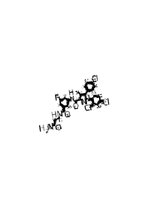 Cc1c(C(=O)Nc2cc(F)cc(C(=O)NCCC(N)=O)c2)nn(-c2ccc(Cl)cc2Cl)c1-c1ccc(Cl)cc1